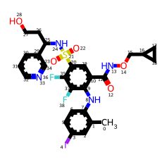 Cc1cc(I)ccc1Nc1c(C(=O)NOCC2CC2)cc(S(=O)(=O)NC(CCO)c2cccnc2)c(F)c1F